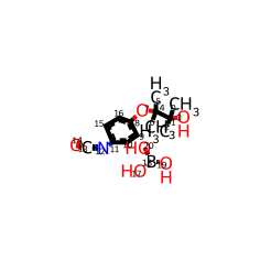 CC(C)(O)C(C)(C)Oc1ccc(N=C=O)cc1.OB(O)O